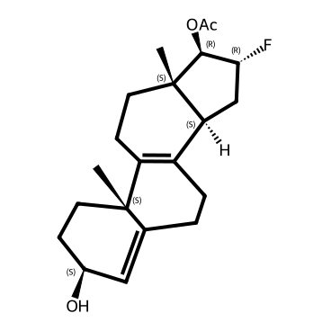 CC(=O)O[C@H]1[C@H](F)C[C@H]2C3=C(CC[C@@]21C)[C@@]1(C)CC[C@H](O)C=C1CC3